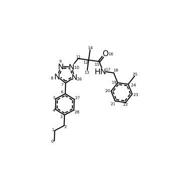 CCCc1ccc(-c2nnn(CC(C)(C)C(=O)NCc3ccccc3C)n2)cc1